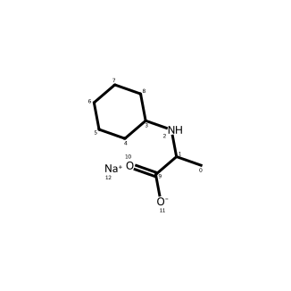 CC(NC1CCCCC1)C(=O)[O-].[Na+]